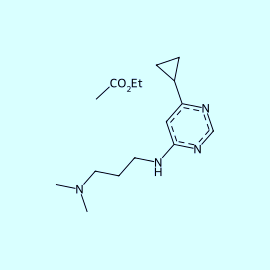 CCOC(C)=O.CN(C)CCCNc1cc(C2CC2)ncn1